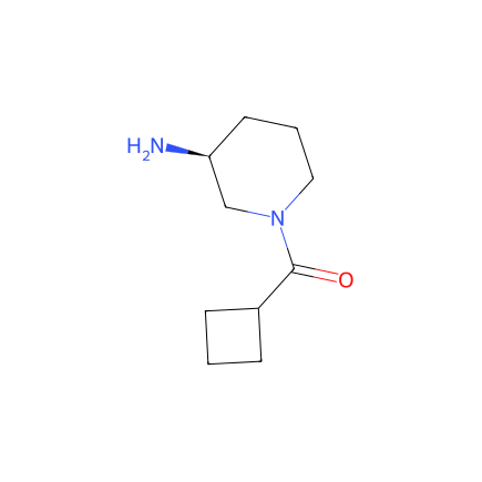 N[C@H]1CCCN(C(=O)C2CCC2)C1